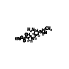 Cc1cn(-c2cc(N)cc(CN3CC[C@H](N(C)C(=O)OC(C)(C)C)C3)c2)cn1